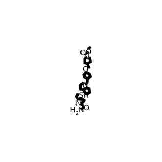 CCOC(=O)N1CCC(COc2ccc(CN3CCCc4c3cccc4[SH]3C=Cc4c3cc(C(N)=O)n4C)cc2)CC1